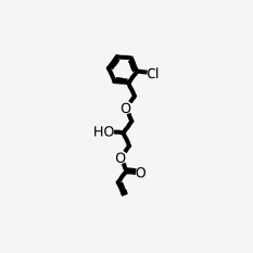 C=CC(=O)OCC(O)COCc1ccccc1Cl